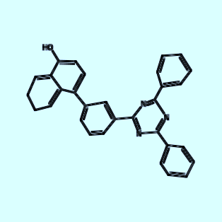 Oc1ccc(-c2cccc(-c3nc(-c4ccccc4)nc(-c4ccccc4)n3)c2)c2c1=CCCC=2